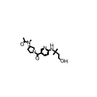 CC(=O)N(C)[C@H]1CCN(C(=O)c2ccc(NC(C)(C)CCO)nc2)C1